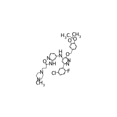 CN1CCN(CCC(=O)Nc2cc(Nc3cc(-c4cc(Cl)ccc4F)nnc3OCc3ccc4c(c3)OC(C)(C)O4)ccn2)CC1